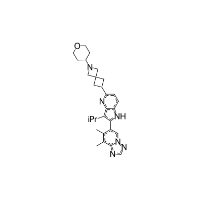 Cc1c(-c2[nH]c3ccc(C4CC5(C4)CN(C4CCOCC4)C5)nc3c2C(C)C)cn2ncnc2c1C